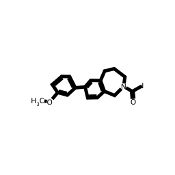 COc1cccc(-c2ccc3c(c2)CCCN(C(=O)I)C3)c1